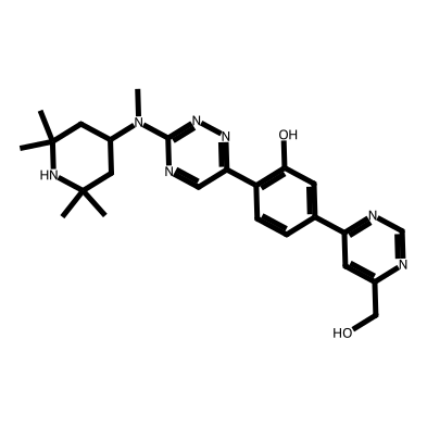 CN(c1ncc(-c2ccc(-c3cc(CO)ncn3)cc2O)nn1)C1CC(C)(C)NC(C)(C)C1